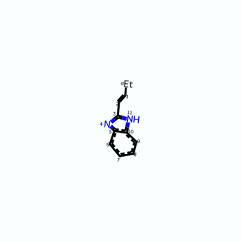 CC/C=C/c1nc2ccccc2[nH]1